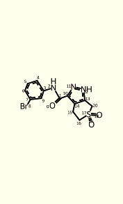 O=C(Nc1cccc(Br)c1)c1n[nH]c2c1CCS(=O)(=O)C2